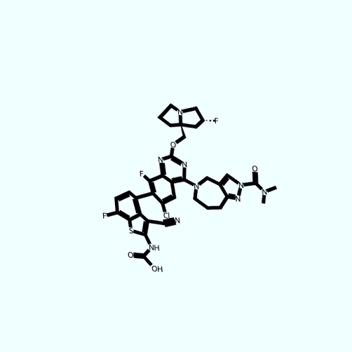 CN(C)C(=O)n1cc2c(n1)CCCN(c1nc(OC[C@@]34CCCN3C[C@H](F)C4)nc3c(F)c(-c4ccc(F)c5sc(NC(=O)O)c(C#N)c45)c(Cl)cc13)C2